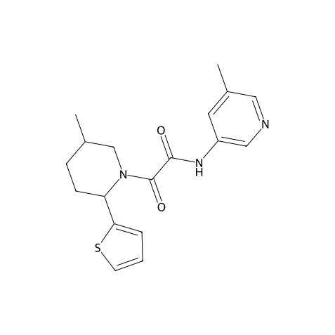 Cc1cncc(NC(=O)C(=O)N2CC(C)CCC2c2cccs2)c1